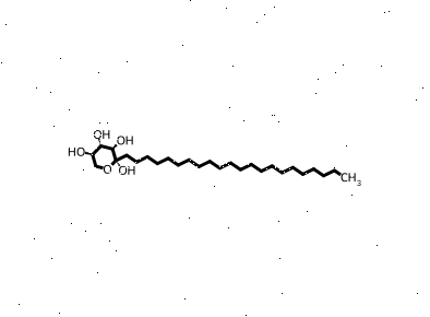 CCCCCCCCCCCCCCCCCCCCCC[C@@]1(O)OC[C@@H](O)[C@H](O)[C@H]1O